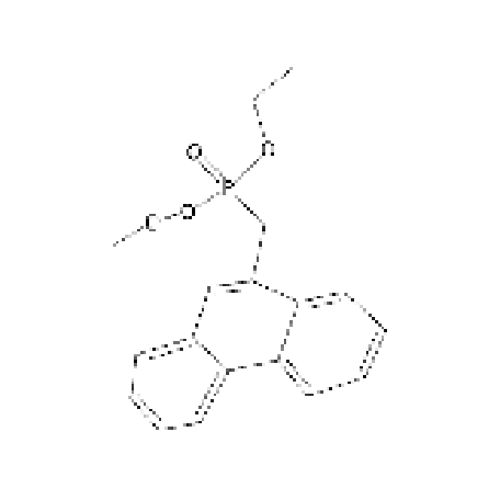 CCOP(=O)(Cc1cc2ccccc2c2ccccc12)OCC